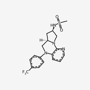 CS(=O)(=O)N[C@@H]1C[C@@H]2CN(c3ccc(C(F)(F)F)cc3)c3cccnc3N2C1